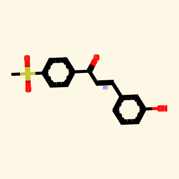 CS(=O)(=O)c1ccc(C(=O)/C=C/c2cccc(O)c2)cc1